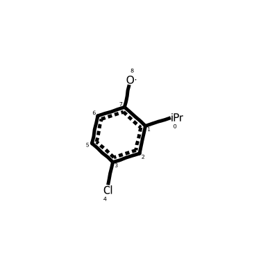 CC(C)c1cc(Cl)ccc1[O]